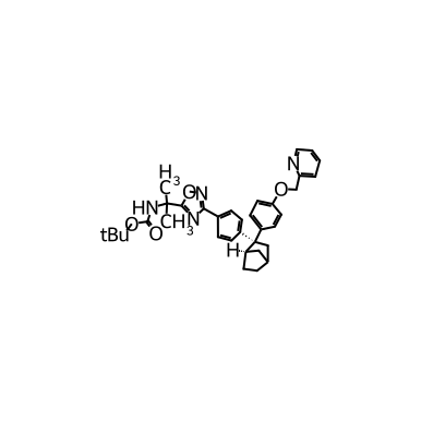 CC(C)(C)OC(=O)NC(C)(C)c1nc(-c2ccc([C@]3(c4ccc(OCc5ccccn5)cc4)CC4CC[C@@H]3C4)cc2)no1